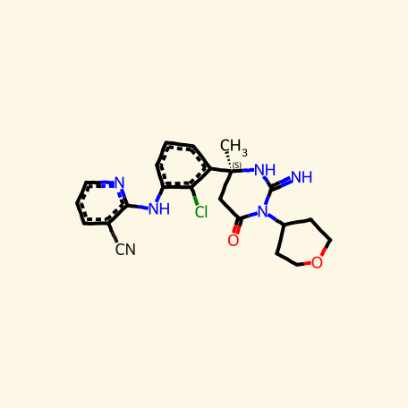 C[C@@]1(c2cccc(Nc3ncccc3C#N)c2Cl)CC(=O)N(C2CCOCC2)C(=N)N1